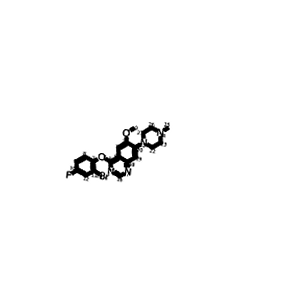 COc1cc2c(Oc3ccc(F)cc3Br)ncnc2cc1N1CCN(C)CC1